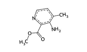 COC(=O)c1nccc(C)c1N